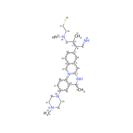 C=C(Nc1cc2cc(/C(C=N)=C(/C)CN(CCC)CCF)ccc2cn1)c1cccc(N2CCN(C)CC2)c1